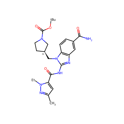 CCn1nc(C)cc1C(=O)Nc1nc2cc(C(N)=O)ccc2n1C[C@H]1CCN(C(=O)OC(C)(C)C)C1